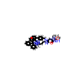 CCCCc1ncc(/C=C2\C(=O)NC(=O)N2C)n1Cc1ccc(-c2ccccc2-c2nnnn2C(c2ccccc2)(c2ccccc2)c2ccccc2)cc1